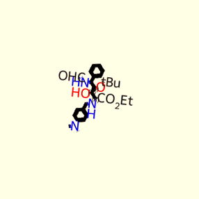 CCOC(=O)[C@H](NCc1ccc(N(C)C)cc1)[C@@H](O)[C@@H](OC(C)(C)C)C(NC=O)c1ccccc1